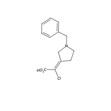 O=C(O)C(Cl)=C1CCN(Cc2ccccc2)C1